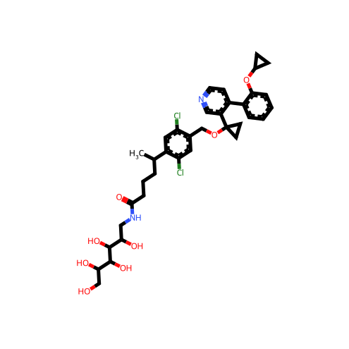 CC(CCCC(=O)NCC(O)C(O)C(O)C(O)CO)c1cc(Cl)c(COC2(c3cnccc3-c3ccccc3OC3CC3)CC2)cc1Cl